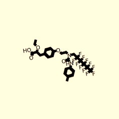 CCOC(Cc1ccc(OCCN(CC(F)(F)C(F)(F)C(F)(F)C(F)(F)C(F)(F)F)C(=O)Nc2ccc(C)cc2)cc1)C(=O)O